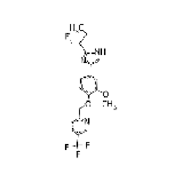 CCC(CF)c1nc(-c2ccc(OCc3ccc(C(F)(F)F)cn3)c(OC)c2)c[nH]1